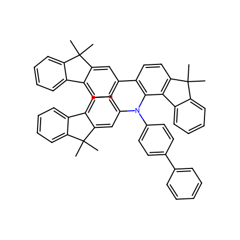 CC1(C)c2ccccc2-c2ccc(-c3ccc4c(c3N(c3ccc(-c5ccccc5)cc3)c3ccc5c(c3)C(C)(C)c3ccccc3-5)-c3ccccc3C4(C)C)cc21